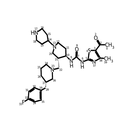 CC(=O)c1sc(NC(=O)N[C@@H]2CCN(C3CCNCC3)C[C@H]2CN2CCC[C@@H](Cc3ccc(F)cc3)C2)nc1C